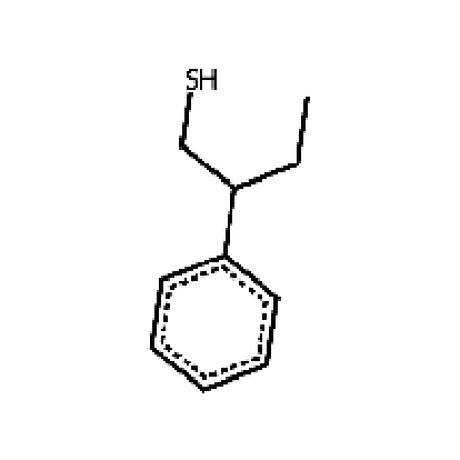 CCC(CS)c1ccccc1